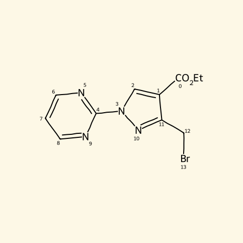 CCOC(=O)c1cn(-c2ncccn2)nc1CBr